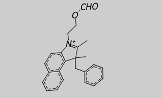 CC1=[N+](CCOC=O)c2ccc3ccccc3c2C1(C)Cc1ccccc1